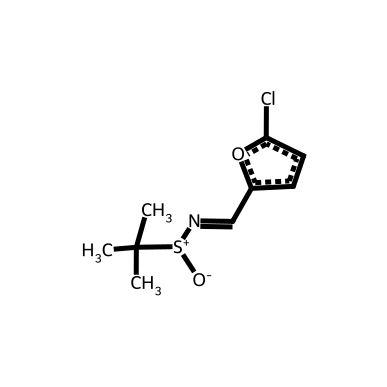 CC(C)(C)[S+]([O-])N=Cc1ccc(Cl)o1